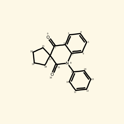 O=C1c2ccccc2N(c2ccccc2)C(=O)C12CCCC2